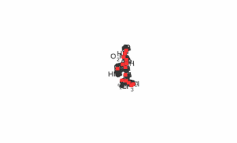 CC(C)([C@@H]1CCCC(CN2CCN(c3ccc(C(=O)NS(=O)(=O)c4ccc(NC[C@H]5COCCO5)c([N+](=O)[O-])c4)c(N4CCCOc5nc6[nH]ccc6cc54)c3)CC2)=C(c2ccc(Cl)cc2)C1)C(F)(F)F